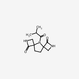 CC(C)C(=O)N1C2(CCC13CNC3=O)CNC2=O